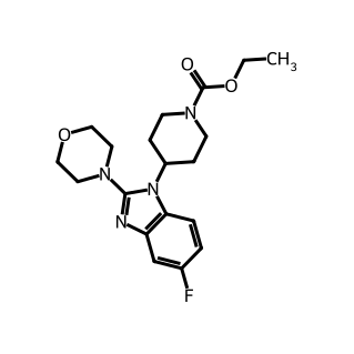 CCOC(=O)N1CCC(n2c(N3CCOCC3)nc3cc(F)ccc32)CC1